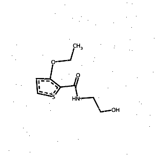 CCOc1ccsc1C(=O)NCCO